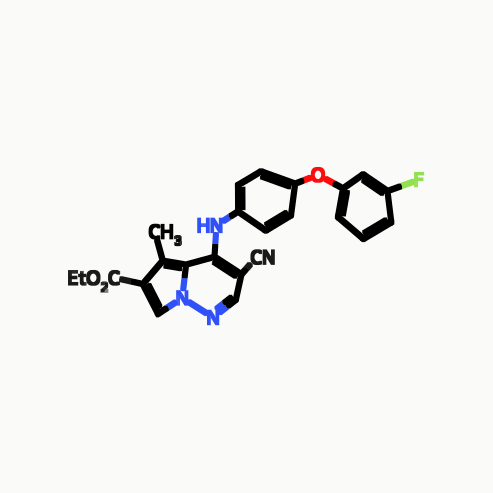 CCOC(=O)c1cn2ncc(C#N)c(Nc3ccc(Oc4cccc(F)c4)cc3)c2c1C